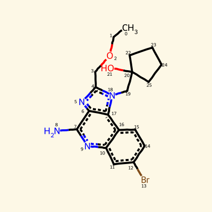 CCOCc1nc2c(N)nc3cc(Br)ccc3c2n1CC1(O)CCCC1